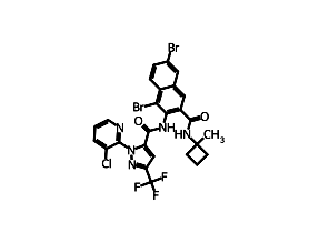 CC1(NC(=O)c2cc3cc(Br)ccc3c(Br)c2NC(=O)c2cc(C(F)(F)F)nn2-c2ncccc2Cl)CCC1